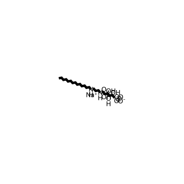 CCCCCCCCCCCCCCNCCCNC(=O)[C@H](O)[C@@H](O)[C@H](O)[C@H](O)COS(=O)(=O)[O-].[Na+]